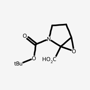 CC(C)(C)OC(=O)N1CCC2OC21C(=O)O